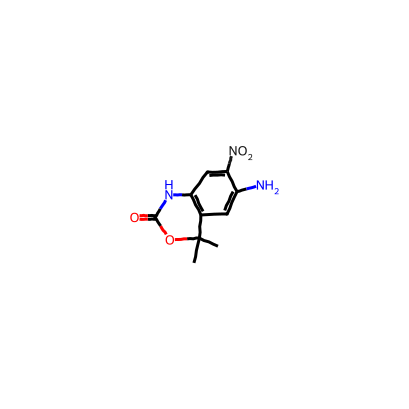 CC1(C)OC(=O)Nc2cc([N+](=O)[O-])c(N)cc21